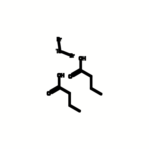 Br[Te]Br.CCCC(=O)O.CCCC(=O)O